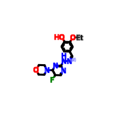 CCOc1cc(/C=N\NC2=NC(N3CCOCC3)C(F)C=N2)ccc1O